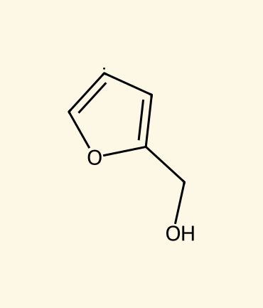 OCc1c[c]co1